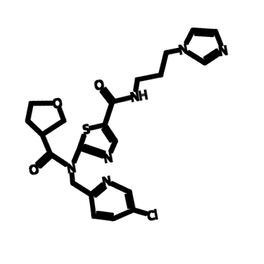 O=C(NCCCn1ccnc1)c1cnc(N(Cc2ccc(Cl)cn2)C(=O)C2CCOC2)s1